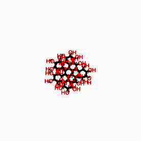 CCSC(C1OC(O)C(O)C(O)C1O)C(C1OC(O)C(O)C(O)C1O)C(C1OC(O)C(O)C(O)C1O)C(C1OC(O)C(O)C(O)C1O)C(C(CC1OC(O)C(O)C(O)C1O)C1OC(O)C(O)C(O)C1O)C1OC(O)C(O)C(O)C1O